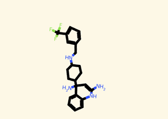 NC1=CC(N)(C2CCC(NCc3cccc(C(F)(F)F)c3)CC2)c2ccccc2N1